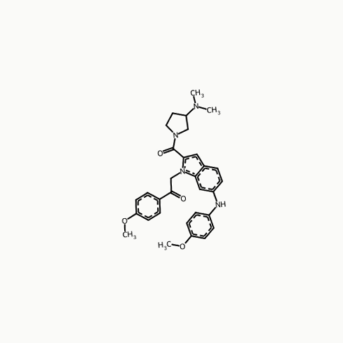 COc1ccc(Nc2ccc3cc(C(=O)N4CCC(N(C)C)C4)n(CC(=O)c4ccc(OC)cc4)c3c2)cc1